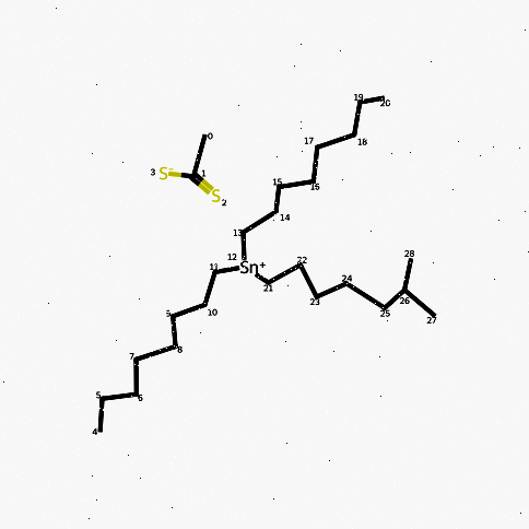 CC(=S)[S-].CCCCCCC[CH2][Sn+]([CH2]CCCCCCC)[CH2]CCCCC(C)C